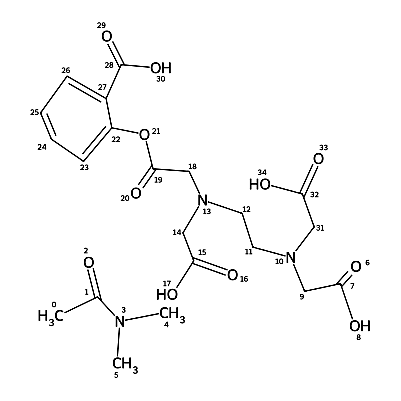 CC(=O)N(C)C.O=C(O)CN(CCN(CC(=O)O)CC(=O)Oc1ccccc1C(=O)O)CC(=O)O